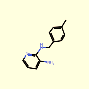 Cc1ccc(CNc2ncccc2N)cc1